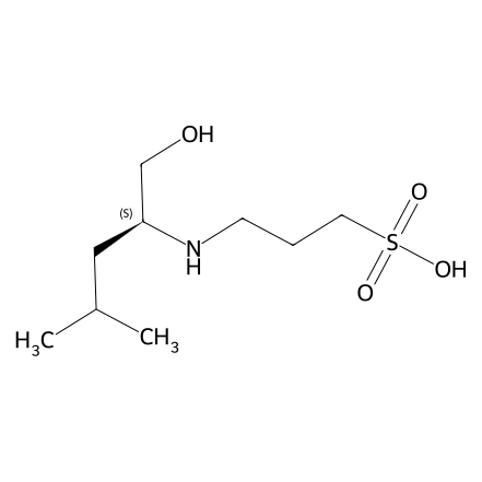 CC(C)C[C@@H](CO)NCCCS(=O)(=O)O